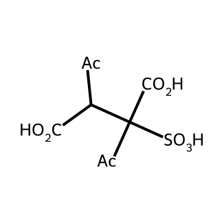 CC(=O)C(C(=O)O)C(C(C)=O)(C(=O)O)S(=O)(=O)O